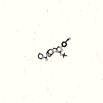 CC(C)(C)OC(=O)NC(COc1ccc(C#N)cc1)CN1CC2CC(C1)CN(C(=O)N1CCCCC1)C2